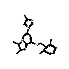 Cc1cn(C2=CN3C(=NC(C)C3C)C(NCc3c(C)cccc3C)=C2)cn1